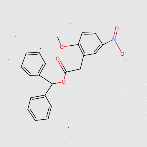 COc1ccc([N+](=O)[O-])cc1CC(=O)OC(c1ccccc1)c1ccccc1